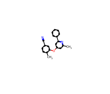 Cc1cc(Oc2cc(C#N)ccc2C)cc(-c2ccccc2)n1